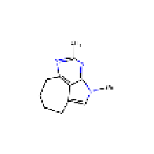 Cc1nc2c3c(cn(C(C)(C)C)c3n1)CCCC2